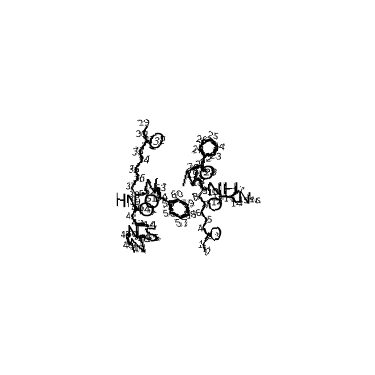 CCC(=O)CCCCC[C@H](NC(=O)C1CN(C)C1)c1ncc(-c2ccccc2)o1.CCC(=O)CCCCC[C@H](NC(=O)Cc1csc2nccn12)c1ncc(-c2ccccc2)o1